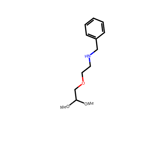 COC(COCCNCc1ccccc1)OC